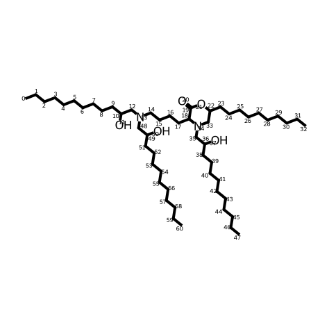 CCCCCCCCCCC(O)CN(CCCCC1C(=O)OC(CCCCCCCCCC)CN1CC(O)CCCCCCCCCC)CC(O)CCCCCCCCCC